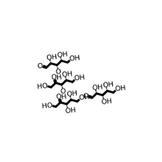 O=C(CO)[C@@H](O)[C@H](O)CO.O=C(CO)[C@@H](O)[C@H](O)CO.O=C[C@H](O)[C@@H](O)[C@H](O)CO.O=C[C@H](O)[C@@H](O)[C@H](O)CO